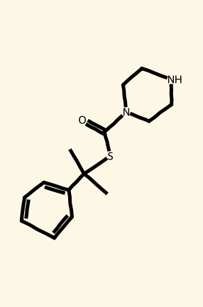 CC(C)(SC(=O)N1CCNCC1)c1ccccc1